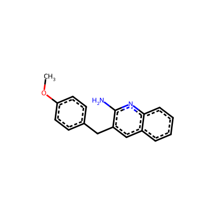 COc1ccc(Cc2cc3ccccc3nc2N)cc1